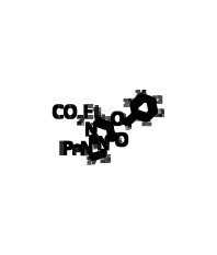 CCOC(=O)c1nc2n(c(=O)c1OCc1ccccc1)CCN2C(C)C